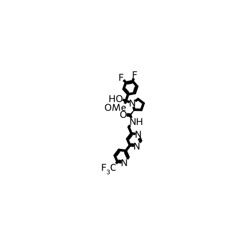 COC(O)(c1ccc(F)c(F)c1)N1CCC[C@H]1C(=O)NCc1cc(-c2ccc(C(F)(F)F)nc2)ncn1